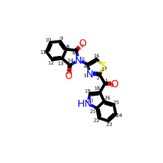 O=C(c1nc(N2C(=O)c3ccccc3C2=O)cs1)c1c[nH]c2ccccc12